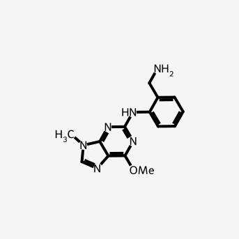 COc1nc(Nc2ccccc2CN)nc2c1ncn2C